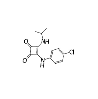 CC(C)Nc1c(Nc2ccc(Cl)cc2)c(=O)c1=O